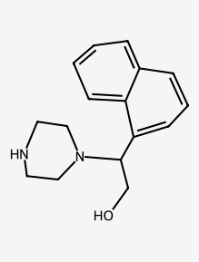 OCC(c1cccc2ccccc12)N1CCNCC1